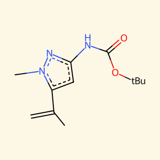 C=C(C)c1cc(NC(=O)OC(C)(C)C)nn1C